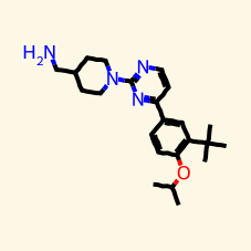 CC(C)Oc1ccc(-c2ccnc(N3CCC(CN)CC3)n2)cc1C(C)(C)C